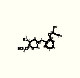 CC[C@@H]1CN(Cc2ccccc2OC(F)F)CCN1C(=O)O